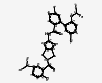 Cc1cc(-c2cc(Cl)ncc2OC(F)F)c(C(=O)Nc2nc3c(s2)CN(C(=O)c2nc(C(F)F)ccc2Cl)C3)cn1